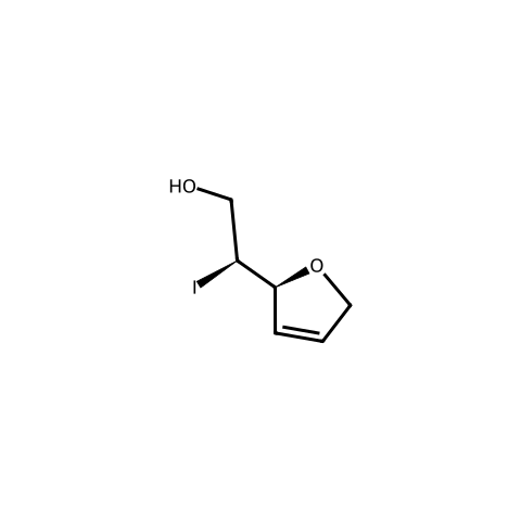 OC[C@H](I)[C@@H]1C=CCO1